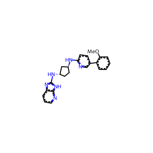 COc1ccccc1-c1ccc(N[C@H]2CC[C@H](Nc3nc4cccnc4[nH]3)C2)nc1